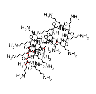 NCCCC[C@H](NC(=O)[C@H](CCCCN)NC(=O)[C@H](CCCCN)NC(=O)[C@H](CCCCN)NC(=O)[C@H](CCCCN)NC(=O)[C@H](CCCCN)NC(=O)[C@H](CCCCN)NC(=O)[C@H](CCCCN)NC(=O)[C@H](CCCCN)NC(=O)[C@H](CCCCN)NC(=O)[C@H](CCCCN)NC(=O)[C@H](CCCCN)NC(=O)[C@H](CCCCN)NC(=O)[C@H](CCCCN)NC(=O)[C@@H](N)CCCCN)C(=O)O